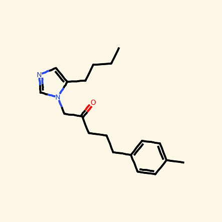 CCCCc1cncn1CC(=O)CCCc1ccc(C)cc1